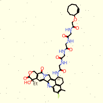 CC[C@@]1(O)C(=O)OCc2c1cc1n(c2=O)Cc2c-1nc1cc(F)c(C)c3c1c2[C@@H](NC(=O)CNC(=O)CNC(=O)CNC(=O)CNC(=O)COC1C#CCCCCC1)CC3